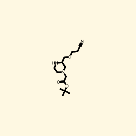 CC(C)(C)OC(=O)CN1CCNC(COCCC#N)C1